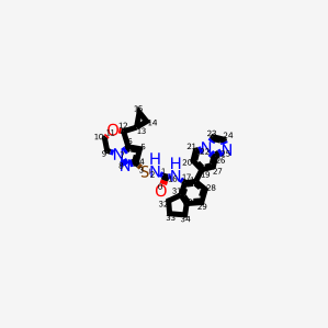 O=C(NSc1cc2n(n1)CCOC2C1CC1)Nc1c(-c2ccn3ccnc3c2)ccc2c1CCC2